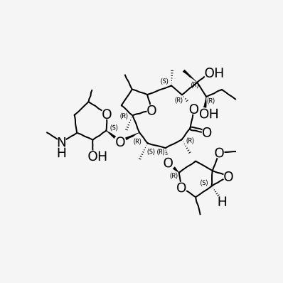 CC[C@@H](O)[C@@](C)(O)[C@@H]1OC(=O)[C@H](C)[C@H](O[C@H]2CC3(OC)O[C@H]3C(C)O2)[C@H](C)[C@@H](O[C@@H]2OC(C)CC(NC)C2O)[C@@]2(C)CC(C)C(O2)[C@@H]1C